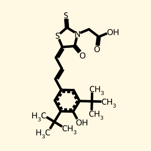 CC(C)(C)c1cc(C=CC=C2SC(=S)N(CC(=O)O)C2=O)cc(C(C)(C)C)c1O